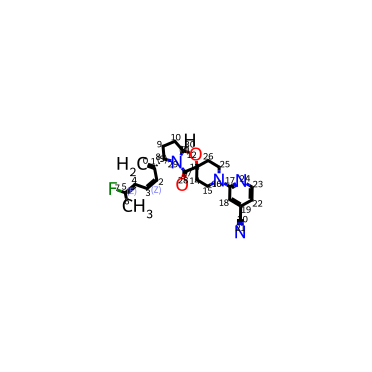 C=C(/C=C\C=C(/C)F)[C@@H]1CC[C@H]2OC3(CCN(c4cc(C#N)ccn4)CC3)C(=O)N21